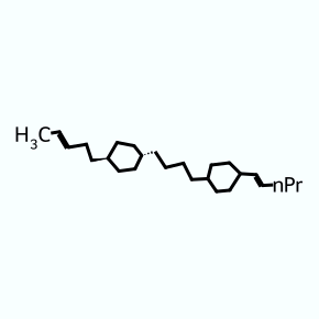 C/C=C/CC[C@H]1CC[C@H](CCCCC2CCC(/C=C/CCC)CC2)CC1